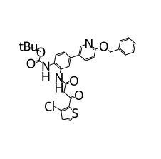 CC(C)(C)OC(=O)Nc1ccc(-c2ccc(OCc3ccccc3)nc2)cc1NC(=O)CC(=O)c1sccc1Cl